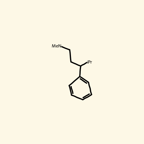 CNCCC(c1ccccc1)C(C)C